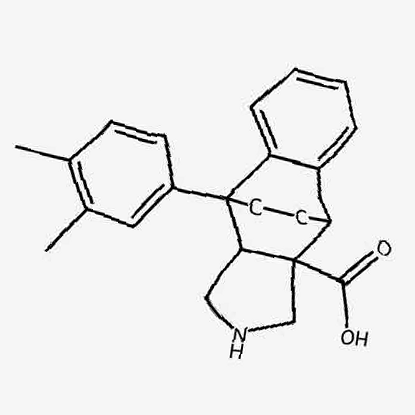 Cc1ccc(C23CCC(c4ccccc42)C2(C(=O)O)CNCC32)cc1C